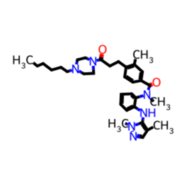 CCCCCCN1CCN(C(=O)CCc2ccc(C(=O)N(C)c3ccccc3Nc3c(C)cnn3C)cc2C)CC1